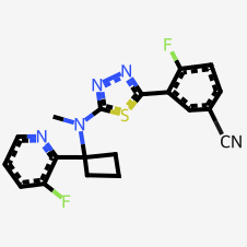 CN(c1nnc(-c2cc(C#N)ccc2F)s1)C1(c2ncccc2F)CCC1